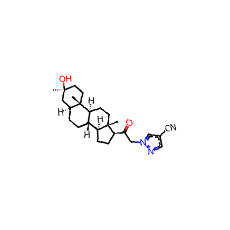 C[C@]1(O)CC[C@@]2(C)[C@@H](CC[C@@H]3[C@@H]2CC[C@]2(C)[C@@H](C(=O)Cn4cc(C#N)cn4)CC[C@@H]32)C1